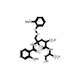 COc1ccccc1SSCC(C)(CC(C(=O)O)C(=O)NC(CC(C)C)C(=O)O)NC(=O)c1ccccc1OC